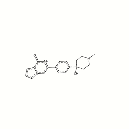 CN1CCC(O)(c2ccc(-c3cn4cccc4c(=O)[nH]3)cc2)CC1